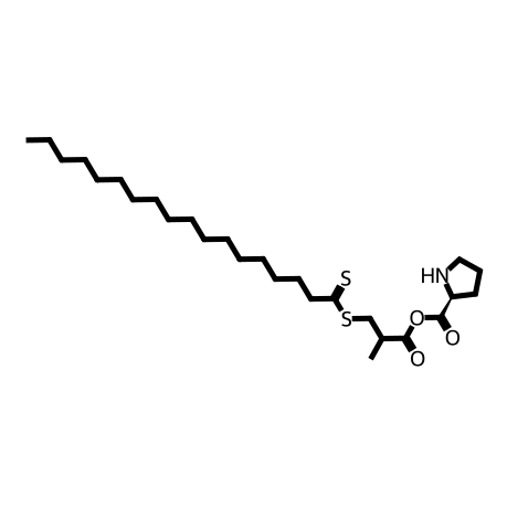 CCCCCCCCCCCCCCCCCC(=S)SCC(C)C(=O)OC(=O)[C@@H]1CCCN1